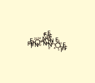 Cn1c(-c2ccc(C(F)(F)F)cc2F)nc2c(C(F)(F)F)nc(-c3ccc(C(F)(F)F)nc3)nc21